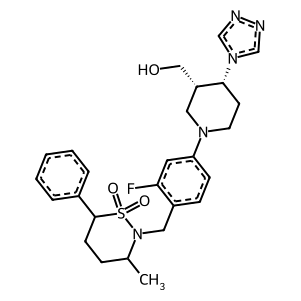 CC1CCC(c2ccccc2)S(=O)(=O)N1Cc1ccc(N2CC[C@@H](n3cnnc3)[C@@H](CO)C2)cc1F